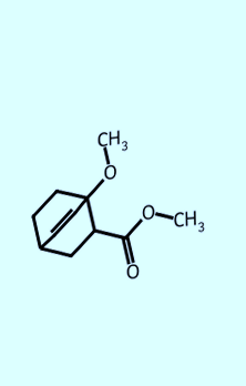 COC(=O)C1CC2C=CC1(OC)CC2